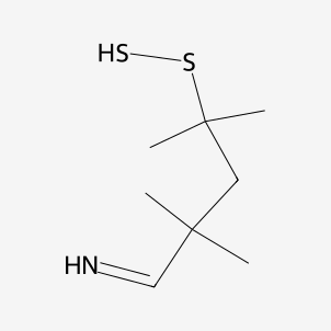 CC(C)(C=N)CC(C)(C)SS